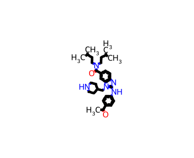 CC(=O)c1ccc(Nc2nc3ccc(C(=O)N(CCC(C)C)CCC(C)C)cc3n2CC2CCNCC2)cc1